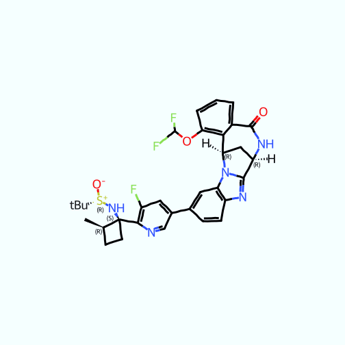 C[C@@H]1CC[C@@]1(N[S@@+]([O-])C(C)(C)C)c1ncc(-c2ccc3nc4n(c3c2)[C@@H]2C[C@H]4NC(=O)c3cccc(OC(F)F)c32)cc1F